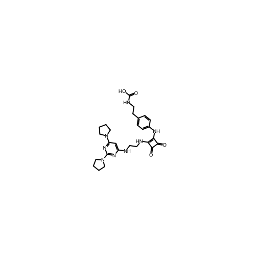 O=C(O)NCCc1ccc(Nc2c(NCCNc3cc(N4CCCC4)nc(N4CCCC4)n3)c(=O)c2=O)cc1